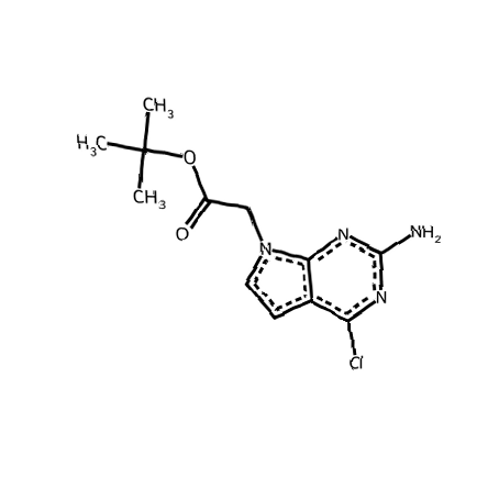 CC(C)(C)OC(=O)Cn1ccc2c(Cl)nc(N)nc21